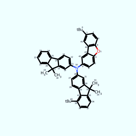 CC(C)(C)c1ccc2oc3ccc(N(c4ccc5c(c4)C(C)(C)c4ccccc4-5)c4ccc5c(c4)C(C)(C)c4cccc(C(C)(C)C)c4-5)cc3c2c1